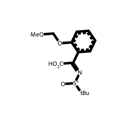 COCOc1ccccc1/C(=N/[S+]([O-])C(C)(C)C)C(=O)O